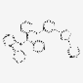 C1=C(c2cccc(-c3c4ccccc4c(-n4c5ccccc5c5ccccc54)c4ccccc34)c2)SC(c2ccccc2)C1